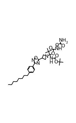 CCCCCCCCc1ccc(-c2noc(C3CN(C(NC(=O)OC(C)(C)C)(OC(=O)NOC(N)=O)C(C)(C)C)C3)n2)cc1